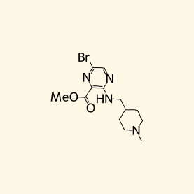 COC(=O)c1nc(Br)cnc1NCC1CCN(C)CC1